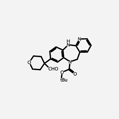 CC(C)(C)OC(=O)N1Cc2cccnc2Nc2ccc(C3(C=O)CCOCC3)cc21